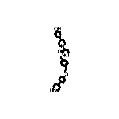 O=C1C(N2CCC(c3ccc(O)cc3)CC2)CCON1Cc1ccc(CCOc2ccc(C3CCNCC3)cc2)cc1